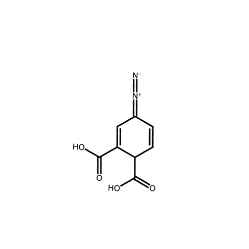 [N-]=[N+]=C1C=CC(C(=O)O)C(C(=O)O)=C1